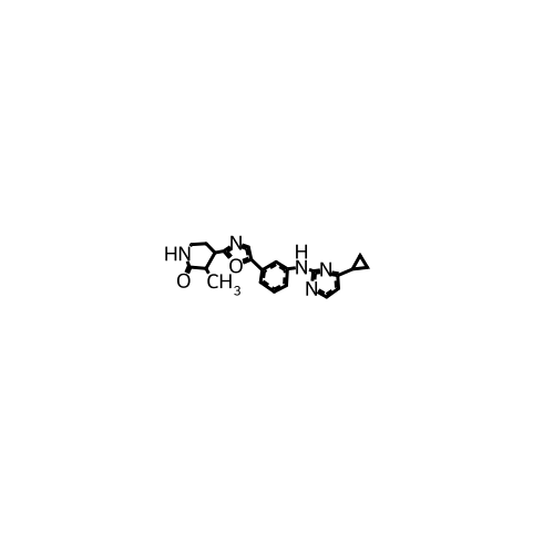 CC1C(=O)NCCC1c1ncc(-c2cccc(Nc3nccc(C4CC4)n3)c2)o1